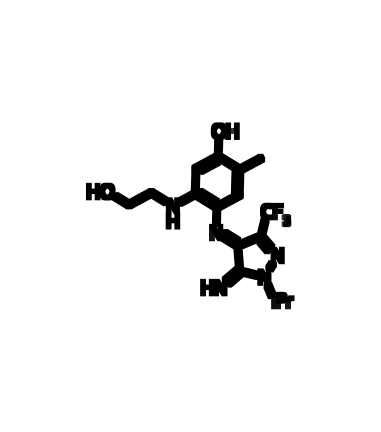 Cc1cc(N=C2C(=N)N(C(C)C)N=C2C(F)(F)F)c(NCCO)cc1O